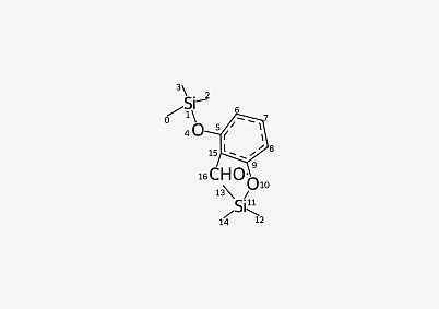 C[Si](C)(C)Oc1cccc(O[Si](C)(C)C)c1[C]=O